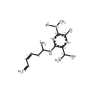 C=C/C=C\CC(N)Nc1nc(N(C)C(C)C)c(CC)nc1C(N)O